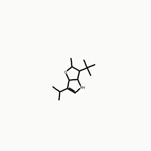 CC(C)C1=CNC2C1OC(C)C2C(C)(C)C